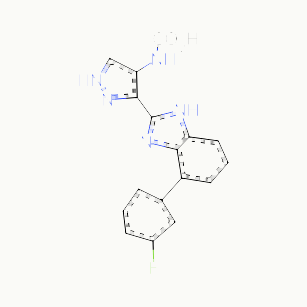 O=C(O)Nc1c[nH]nc1-c1nc2c(-c3cccc(F)c3)cccc2[nH]1